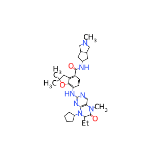 CCC1C(=O)N(C)c2cnc(Nc3ccc(C(=O)NC4CC5CN(C)CC5C4)c4c3OC(C)(C)C4)nc2N1C1CCCC1